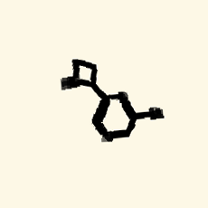 CCc1cncc(C2CCN2)n1